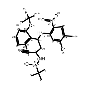 CC(C)(C)[S@@+]([O-])NC(C#N)CC(Nc1cc(Br)c(F)cc1[N+](=O)[O-])c1c(Cl)cccc1OC(F)(F)F